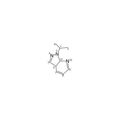 CC(C)N1N=CC2C=CC=NC21